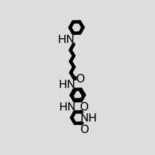 O=C1CCC(Nc2cccc(NC(=O)CCCCCCNC3CCCCC3)c2)C(=O)N1